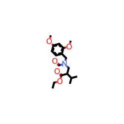 CCOC(=O)C(CN(C=O)Cc1ccc(OC)cc1OC)C(C)C